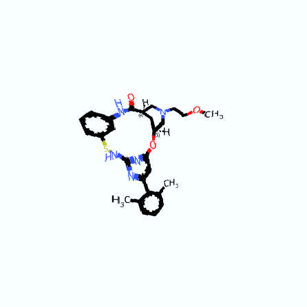 COCCN1C[C@@H]2C[C@H](C1)C(=O)Nc1cccc(c1)SNc1nc(cc(-c3c(C)cccc3C)n1)O2